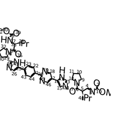 COC(=O)/N=C/C(C(=O)N1CCC[C@H]1c1ncc(-c2cnc(-c3ccc(-c4cnc([C@@H]5CCCN5C(=O)[C@@H](NC(=O)OC)C(C)C)[nH]4)cc3)nc2)[nH]1)C(C)C